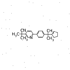 CC(C)(C#N)c1ccc(-c2ccc(C(C)(C)C3CCCC3)cc2)nc1